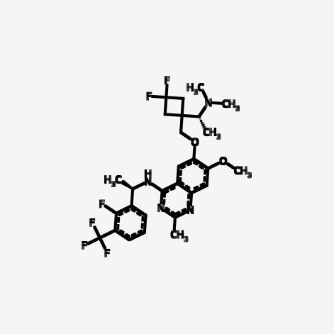 COc1cc2nc(C)nc(N[C@H](C)c3cccc(C(F)(F)F)c3F)c2cc1OCC1([C@@H](C)N(C)C)CC(F)(F)C1